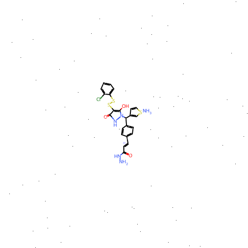 N.NNC(=O)/C=C/c1ccc(C(c2ccsc2)n2[nH]c(=O)c(SSc3ccccc3Cl)c2O)cc1